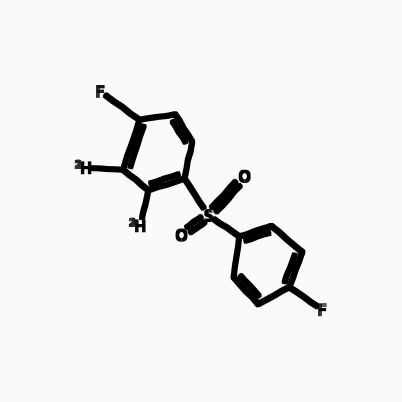 [2H]c1c(F)ccc(S(=O)(=O)c2ccc(F)cc2)c1[2H]